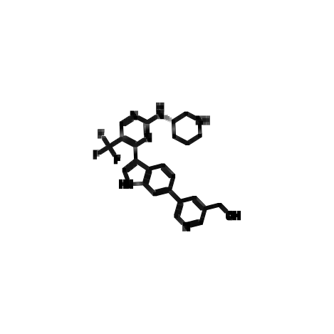 OCc1cncc(-c2ccc3c(-c4nc(N[C@H]5CCCNC5)ncc4C(F)(F)F)c[nH]c3c2)c1